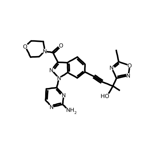 Cc1nc(C(C)(O)C#Cc2ccc3c(C(=O)N4CCOCC4)nn(-c4ccnc(N)n4)c3c2)no1